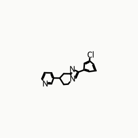 Clc1cccc(-c2cn3c(n2)CC(c2cccnc2)CC3)c1